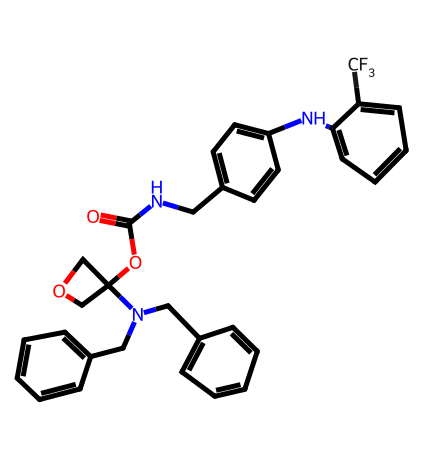 O=C(NCc1ccc(Nc2ccccc2C(F)(F)F)cc1)OC1(N(Cc2ccccc2)Cc2ccccc2)COC1